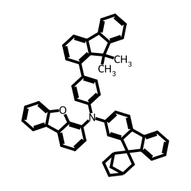 CC1(C)c2ccccc2-c2cccc(-c3ccc(N(c4ccc5c(c4)C4(CC6CCC4C6)c4ccccc4-5)c4cccc5c4oc4ccccc45)cc3)c21